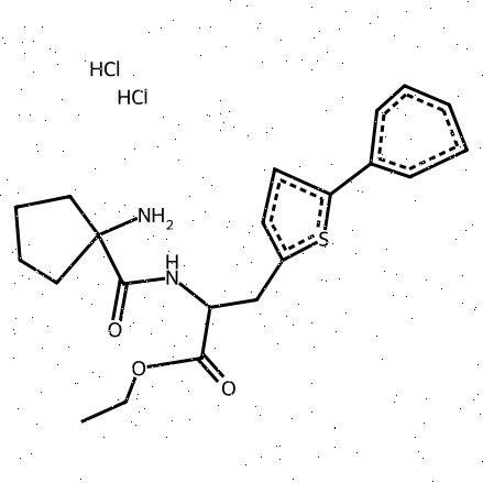 CCOC(=O)C(Cc1ccc(-c2ccccc2)s1)NC(=O)C1(N)CCCC1.Cl.Cl